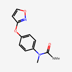 CNC(=O)N(C)c1ccc(Oc2ccon2)cc1